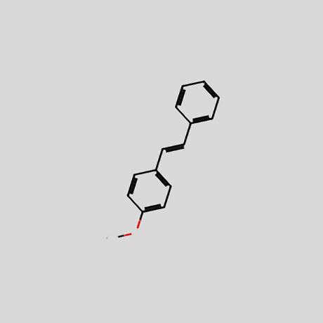 CCCCOc1ccc(/C=C/c2ccccc2)cc1